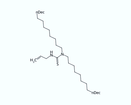 C=CCNC(=S)N(CCCCCCCCCCCCCCCCCC)CCCCCCCCCCCCCCCCCC